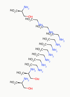 NCC(=O)O.NCC(=O)O.NCC(=O)O.NCC(=O)O.NCC(=O)O.NCC(=O)O.NCC(=O)O.NCC(=O)O.NCC(=O)O.N[C@@H](CO)C(=O)O.N[C@@H](CO)C(=O)O.N[C@@H](CO)C(=O)O